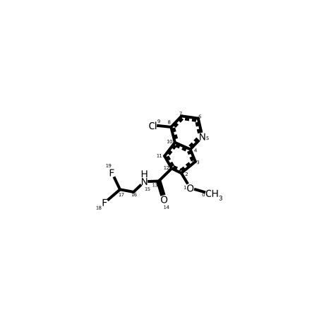 COc1cc2nccc(Cl)c2cc1C(=O)NCC(F)F